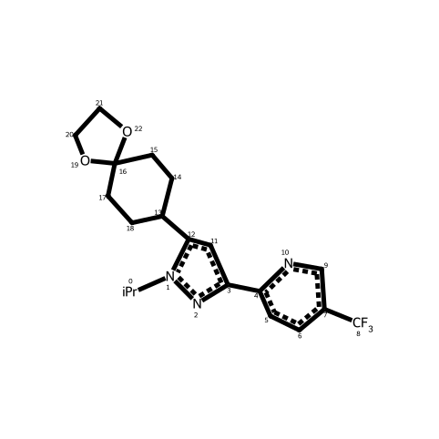 CC(C)n1nc(-c2ccc(C(F)(F)F)cn2)cc1C1CCC2(CC1)OCCO2